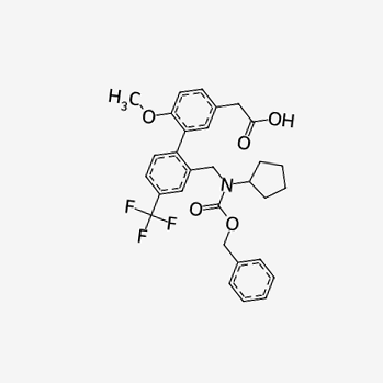 COc1ccc(CC(=O)O)cc1-c1ccc(C(F)(F)F)cc1CN(C(=O)OCc1ccccc1)C1CCCC1